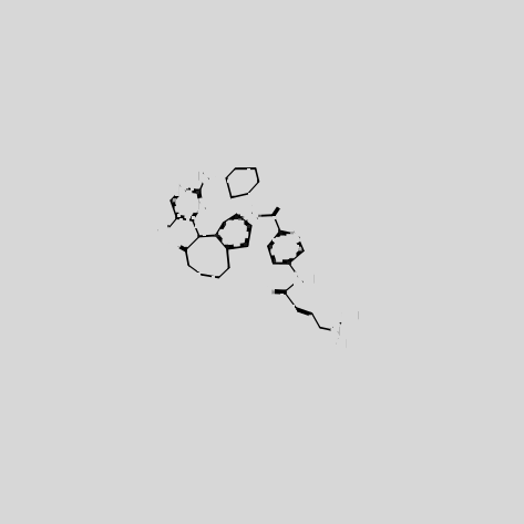 CN(C)C/C=C/C(=O)Nc1ccc(C(=O)N[C@H]2CCC[C@@H](Nc3ncc(Cl)c(C4C(=O)CCCCc5ccccc54)n3)C2)nc1